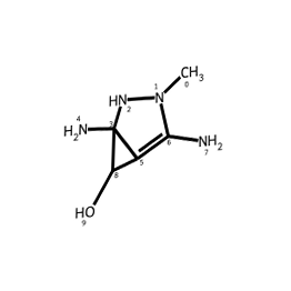 CN1NC2(N)C(=C1N)C2O